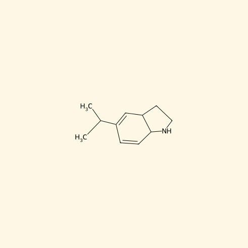 CC(C)C1=CC2CCNC2C=C1